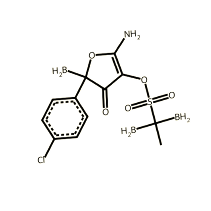 BC1(c2ccc(Cl)cc2)OC(N)=C(OS(=O)(=O)C(B)(B)C)C1=O